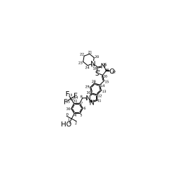 CC(C)(O)c1ccc(Cn2ncc3cc(/C=C4\SC(N5CCCCC5)=NC4=O)ccc32)c(C(F)(F)F)c1